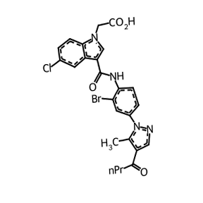 CCCC(=O)c1cnn(-c2ccc(NC(=O)c3cn(CC(=O)O)c4ccc(Cl)cc34)c(Br)c2)c1C